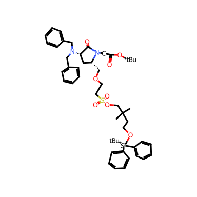 CC(C)(CCO[Si](c1ccccc1)(c1ccccc1)C(C)(C)C)COS(=O)(=O)CCOC[C@@H]1C[C@H](N(Cc2ccccc2)Cc2ccccc2)C(=O)N1CC(=O)OC(C)(C)C